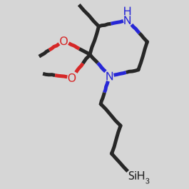 COC1(OC)C(C)NCCN1CCC[SiH3]